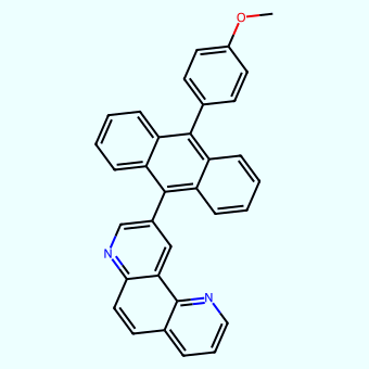 COc1ccc(-c2c3ccccc3c(-c3cnc4ccc5cccnc5c4c3)c3ccccc23)cc1